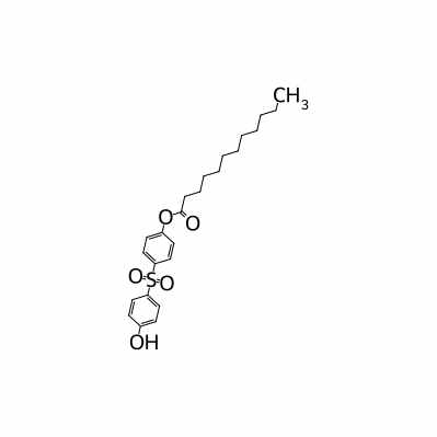 CCCCCCCCCCCC(=O)Oc1ccc(S(=O)(=O)c2ccc(O)cc2)cc1